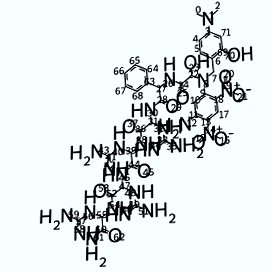 CN(C)c1ccc(CN(c2cc(N)c([N+](=O)[O-])cc2[N+](=O)[O-])C(O)C(=O)NC(C(=O)NC(NC(=N)N)C(=O)NC(NC(=N)N)C(=O)NC(NC(=N)N)C(=O)NC(NC(=N)N)C(N)=O)c2ccccc2)c(O)c1